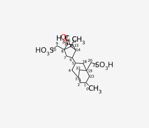 CC1C=C2CC(C3CC4(CS(=O)(=O)O)C(=O)CC3C4(C)C)CC(CS(=O)(=O)O)(C2)C1